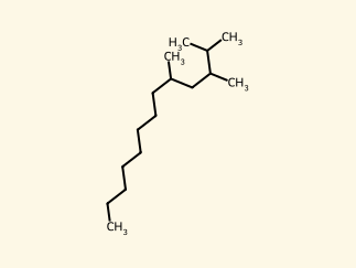 CCCCCCCCC(C)CC(C)C(C)C